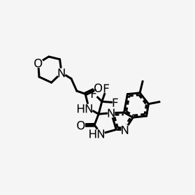 Cc1cc2nc3n(c2cc1C)C(NC(=O)CCN1CCOCC1)(C(F)(F)F)C(=O)N3